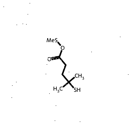 CSOC(=O)CCC(C)(C)S